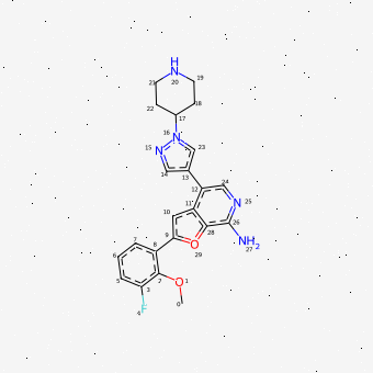 COc1c(F)cccc1-c1cc2c(-c3cnn(C4CCNCC4)c3)cnc(N)c2o1